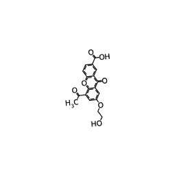 CC(=O)c1cc(OCCO)cc2c(=O)c3cc(C(=O)O)ccc3oc12